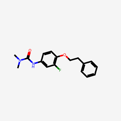 CN(C)C(=O)Nc1ccc(OCCc2ccccc2)c(F)c1